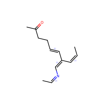 C\C=C/C(/C=C/CCC(C)=O)=C\N=C/C